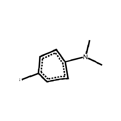 [CH]c1ccc(N(C)C)cc1